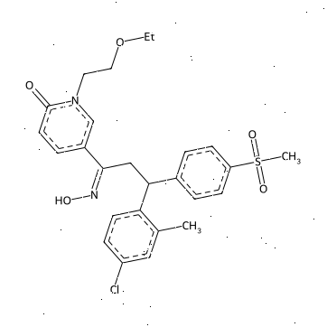 CCOCCn1cc(/C(CC(c2ccc(S(C)(=O)=O)cc2)c2ccc(Cl)cc2C)=N\O)ccc1=O